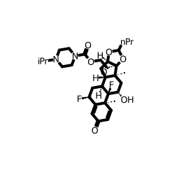 CCCC1O[C@@H]2C[C@H]3[C@@H]4C[C@H](F)C5=CC(=O)C=C[C@]5(C)[C@@]4(F)[C@@H](O)C[C@]3(C)[C@]2(C(=O)COC(=O)N2CCN(C(C)C)CC2)O1